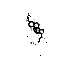 C[C@H](CCC(=O)O)[C@H]1CC[C@H]2[C@@H]3CC[C@@H]4CC(N=[N+]=[N-])CC[C@]4(C)[C@H]3CC[C@]12C